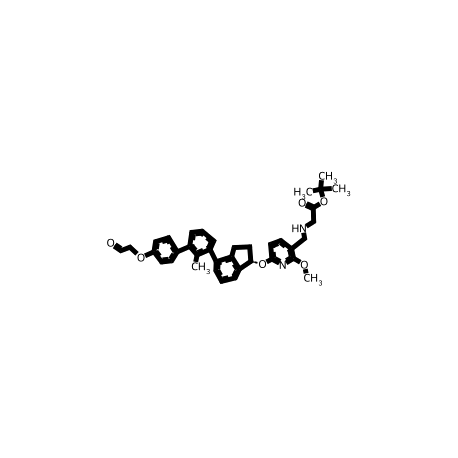 COc1nc(O[C@H]2CCc3c(-c4cccc(-c5ccc(OCC=O)cc5)c4C)cccc32)ccc1CNCC(=O)OC(C)(C)C